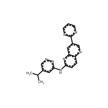 CC(C)c1cnnc(Nc2ccc3ncc(-c4ncccn4)cc3n2)c1